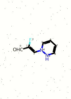 O=CC(F)=CN1C=CC=CN1